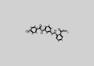 NC(=O)c1ccccc1NCc1cccc(NC(=O)c2ccc(Cl)cc2)c1